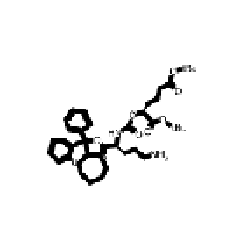 CC(C)(C)OC(=O)CCC[C@H](OC(=O)N[C@@H](CCCN)C(=O)OC(c1ccccc1)(c1ccccc1Cl)C1CCCCCC1)C(=O)OC(C)(C)C